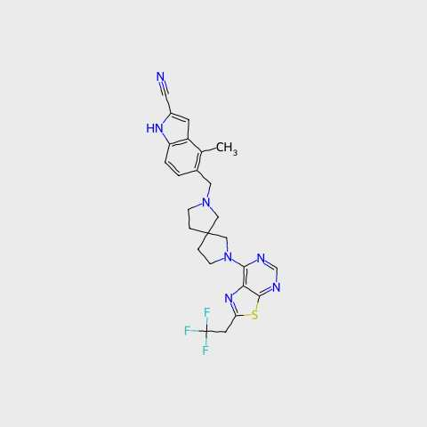 Cc1c(CN2CCC3(CCN(c4ncnc5sc(CC(F)(F)F)nc45)C3)C2)ccc2[nH]c(C#N)cc12